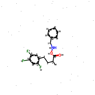 CC(CCc1cc(F)c(F)cc1F)C(=O)ONCc1ccccc1